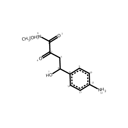 CN(O)C(=O)C(=O)CC(O)c1ccc(N)cc1